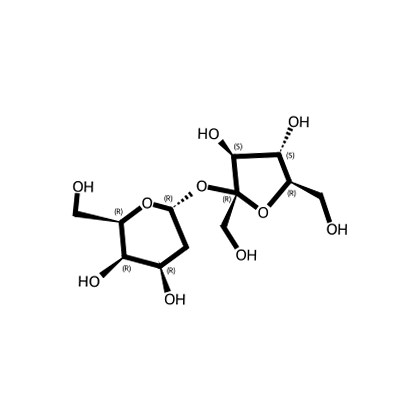 OC[C@H]1O[C@H](O[C@@]2(CO)O[C@H](CO)[C@@H](O)[C@@H]2O)C[C@@H](O)[C@H]1O